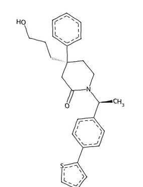 C[C@@H](c1ccc(-c2cccs2)cc1)N1CC[C@](CCCO)(c2ccccc2)CC1=O